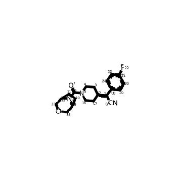 N#CC(=C1CCN(C(=O)N2C3CCC2COC3)CC1)c1ccc(F)cc1